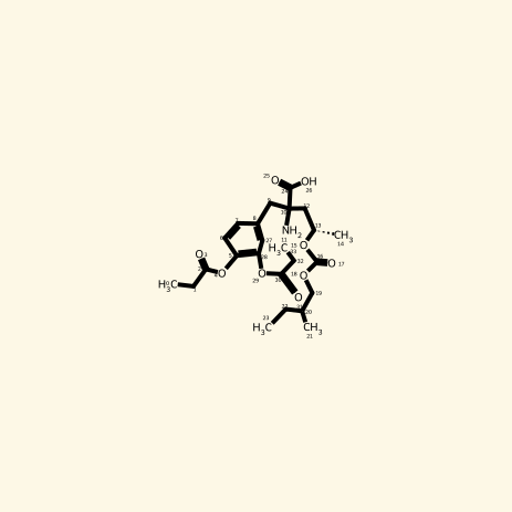 CCC(=O)Oc1ccc(CC(N)(C[C@H](C)OC(=O)OCC(C)CC)C(=O)O)cc1OC(=O)CC